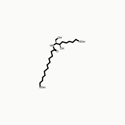 CCCCCCCCCCCCCCCCCCCCCC(=O)N[C@@H](CO)[C@H](O)CCCCCCCCCCCCCCC